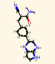 CN(C)C(=O)C(C#N)=Cc1ccc(-c2cnc3[nH]ccc3n2)cc1